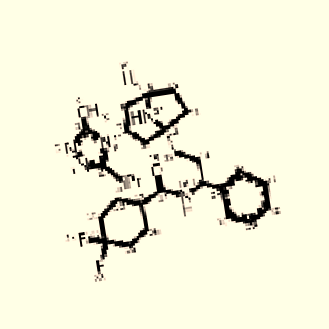 Cc1nnc(C(C)C)n1[C@@H]1C[C@H]2CC[C@@](CC[C@H](NC(=O)C3CCC(F)(F)CC3)c3ccccc3)(C1)N2